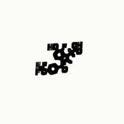 Cc1c(C(C)(C)C(=O)O)c2c(F)c(O)ccc2n1C(=O)c1ccc(OC(F)(F)F)cc1